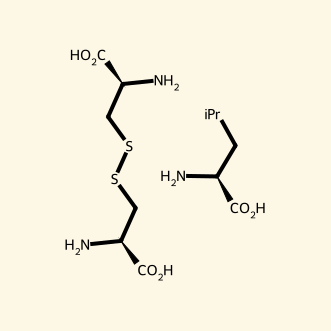 CC(C)C[C@H](N)C(=O)O.N[C@@H](CSSC[C@H](N)C(=O)O)C(=O)O